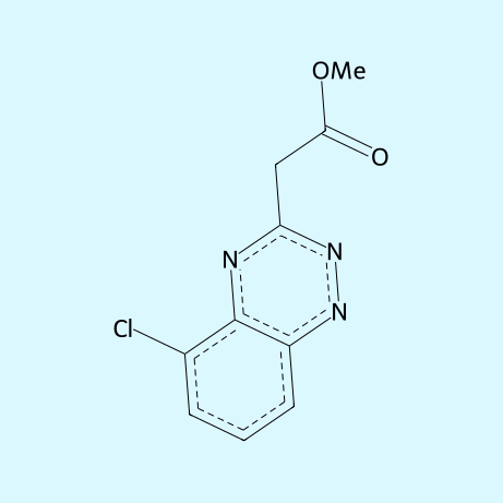 COC(=O)Cc1nnc2cccc(Cl)c2n1